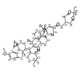 COc1ccc(CO[C@H]2CC(C)(C)Cc3nc(C4CCN(c5ncc(OCC6COC(C)(C)OC6)cn5)CC4)c(C(F)c4ccc(C(F)(F)F)cc4)c(C4CCC(F)(F)CC4)c32)cc1